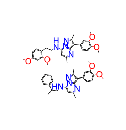 COc1ccc(-c2c(C)nn3c(NCC(C)c4ccccc4)cc(C)nc23)cc1OC.COc1ccc(CCNc2cc(C)nc3c(-c4ccc(OC)c(OC)c4)c(C)nn23)c(OC)c1